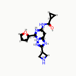 O=C(Nc1cc2nc(C3CNC3)nn2c(-c2ccco2)n1)C1CC1